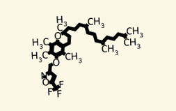 Cc1c(C)c2c(c(C)c1OCc1cc(C(F)(F)F)on1)CCC(C)(CCCC(C)CCCC(C)CCCC(C)C)O2